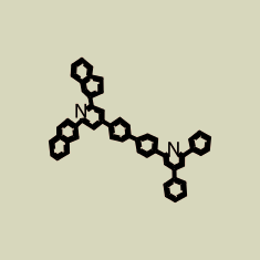 c1ccc(-c2cc(-c3ccccc3)nc(-c3ccc(-c4ccc(-c5cc(-c6ccc7ccccc7c6)nc(-c6ccc7ccccc7c6)c5)cc4)cc3)c2)cc1